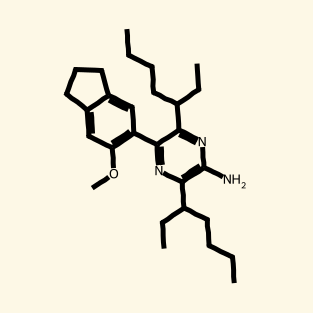 CCCCC(CC)c1nc(-c2cc3c(cc2OC)CCC3)c(C(CC)CCCC)nc1N